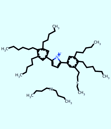 CCCCCCc1c(CCCCC)cc(C2=CC=C(c3cc(CCCCC)c(CCCCCC)c(CCCCC)c3)[N+]2=[N-])cc1CCCCC.CCC[CH2][Ni][CH2]CCC